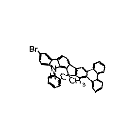 CC1(C)c2cc3c4ccccc4c4ccccc4c3cc2-c2ccc3c4cc(Br)ccc4n(-c4ccccc4)c3c21